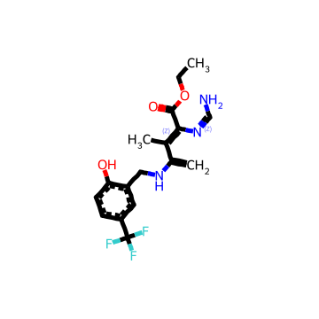 C=C(NCc1cc(C(F)(F)F)ccc1O)/C(C)=C(\N=C/N)C(=O)OCC